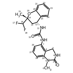 CN1C(=O)NCc2c(NC(=O)N[C@@H]3C[C@](C)(C(F)F)Oc4ccccc43)cccc21